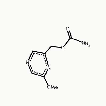 COc1cncc(COC(N)=O)n1